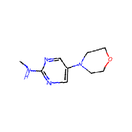 CNc1ncc(N2CCOCC2)cn1